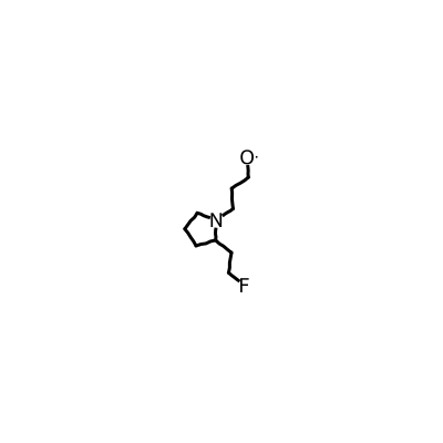 [O]CCCN1CCCC1CCF